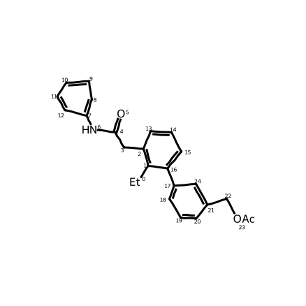 CCc1c(CC(=O)Nc2ccccc2)cccc1-c1cccc(COC(C)=O)c1